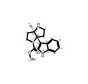 CC(C)(C)OC(=O)N1CC[C@H]2NCC[C@@]21c1c[nH]c2ccccc12